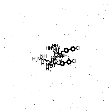 N=C(N)NCCC[C@H](NC(=O)[C@H](Cc1ccc(-c2ccc(Cl)cc2)cc1)NC(=O)[C@@H](CCCNC(=N)N)NC(=O)[C@@H](N)Cc1ccc(-c2ccc(Cl)cc2)cc1)C(N)=O